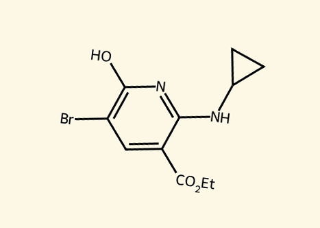 CCOC(=O)c1cc(Br)c(O)nc1NC1CC1